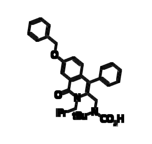 CC(C)Cn1c(CN(C(=O)O)C(C)(C)C)c(-c2ccccc2)c2ccc(OCc3ccccc3)cc2c1=O